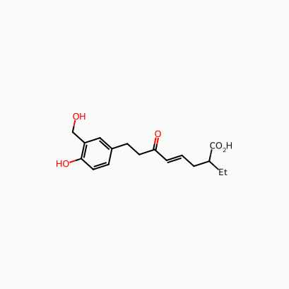 CCC(C/C=C/C(=O)CCc1ccc(O)c(CO)c1)C(=O)O